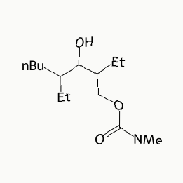 CCCCC(CC)C(O)C(CC)COC(=O)NC